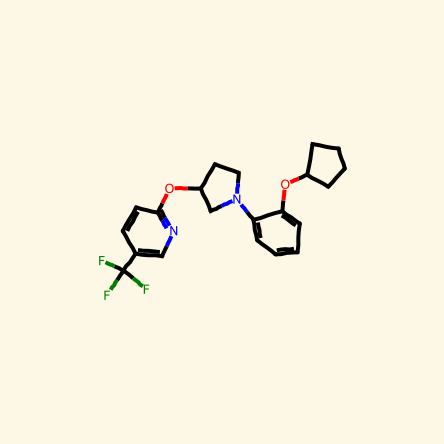 FC(F)(F)c1ccc(OC2CCN(c3ccccc3OC3CCCC3)C2)nc1